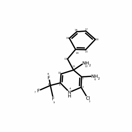 NC1=C(Cl)NC(C(F)(F)F)=CC1(N)Cc1ccccc1